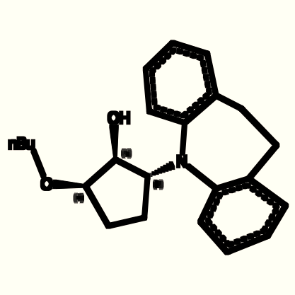 CCCCO[C@@H]1CC[C@@H](N2c3ccccc3CCc3ccccc32)[C@@H]1O